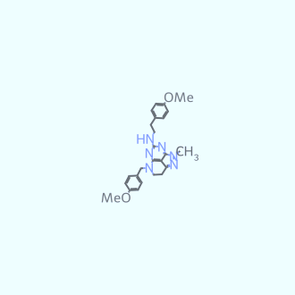 COc1ccc(CCNc2nc3c4c(nn(C)c4n2)CCN3Cc2ccc(OC)cc2)cc1